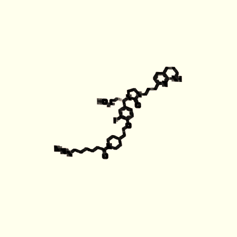 [N-]=[N+]=NCCCCCC(=O)N1CCC(CCOc2ccc([C@H](CC(=O)O)N3CCN(CCCc4ccc5c(n4)NCCC5)C3=O)cc2F)CC1